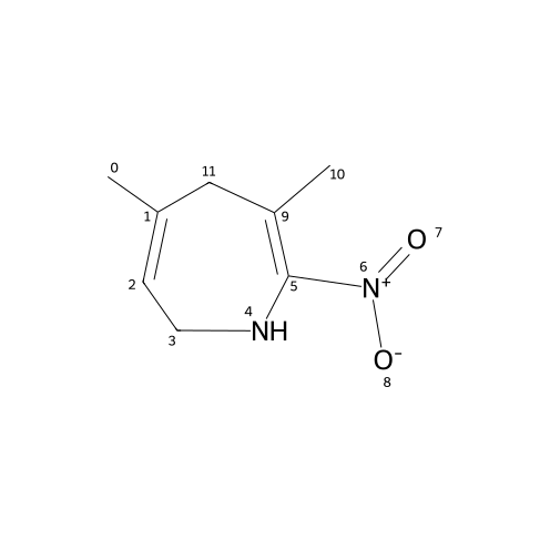 CC1=CCNC([N+](=O)[O-])=C(C)C1